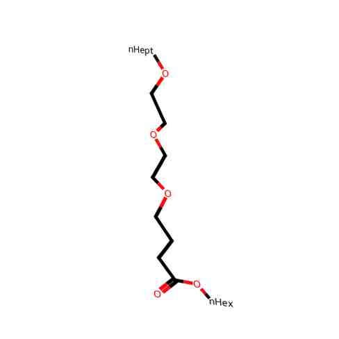 CCCCCCCOCCOCCOCCCC(=O)OCCCCCC